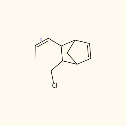 C/C=C\C1C2C=CC(C2)C1CCl